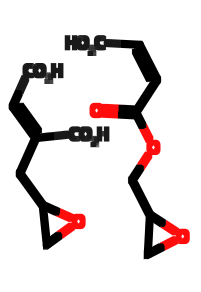 O=C(O)/C=C(/CC1CO1)C(=O)O.O=C(O)/C=C\C(=O)OCC1CO1